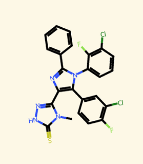 Cn1c(-c2nc(-c3ccccc3)n(-c3cccc(Cl)c3F)c2-c2ccc(F)c(Cl)c2)n[nH]c1=S